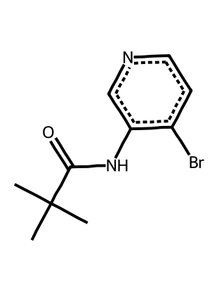 CC(C)(C)C(=O)Nc1cnccc1Br